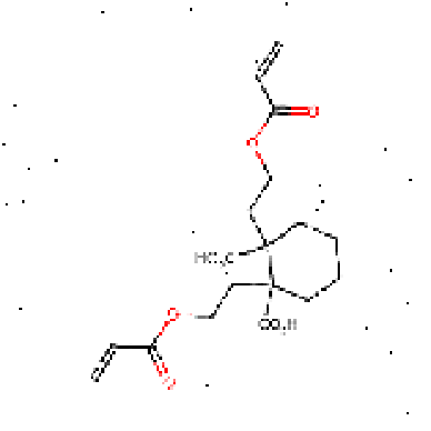 C=CC(=O)OCCC1(C(=O)O)CCCCC1(CCOC(=O)C=C)C(=O)O